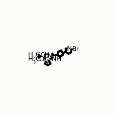 CC(C)(C)OC(=O)N1CCC[C@H]1c1ncc(-c2ccc(-c3ccc(Br)nc3)cc2)[nH]1